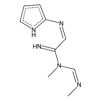 C/N=C\N(C)C(=N)/C=N\c1ccc[nH]1